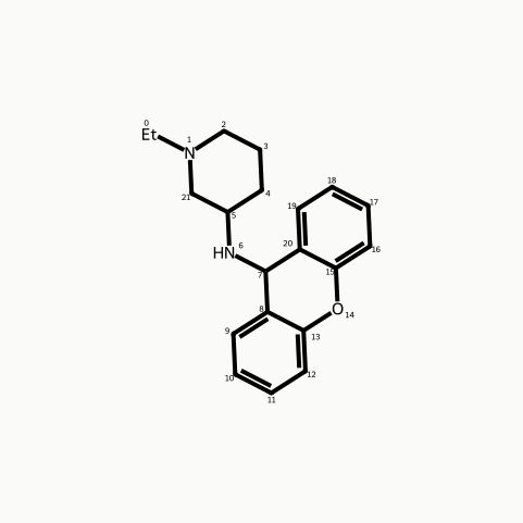 CCN1CCCC(NC2c3ccccc3Oc3ccccc32)C1